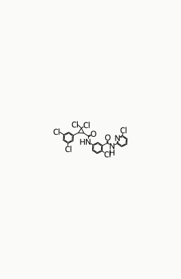 O=C(Nc1cccc(Cl)n1)c1cc(NC(=O)C2C(c3cc(Cl)cc(Cl)c3)C2(Cl)Cl)ccc1Cl